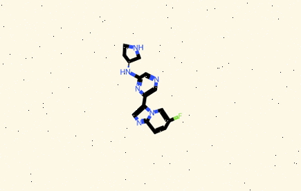 Fc1ccc2ncc(-c3cncc(N[C@@H]4CCNC4)n3)n2c1